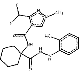 Cn1cc(C(=O)NC2(C(=O)NNc3ccccc3C#N)CCCCC2)c(C(F)F)n1